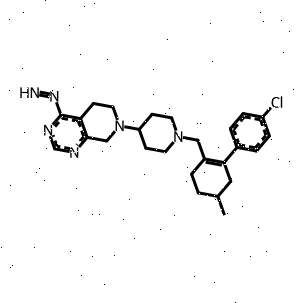 CC1CCC(CN2CCC(N3CCc4c(ncnc4N=N)C3)CC2)=C(c2ccc(Cl)cc2)C1